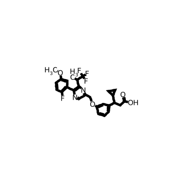 COc1ccc(F)c(-c2ncc(COc3cccc(C(CC(=O)O)C4CC4)c3)nc2C(C)C(F)(F)F)c1